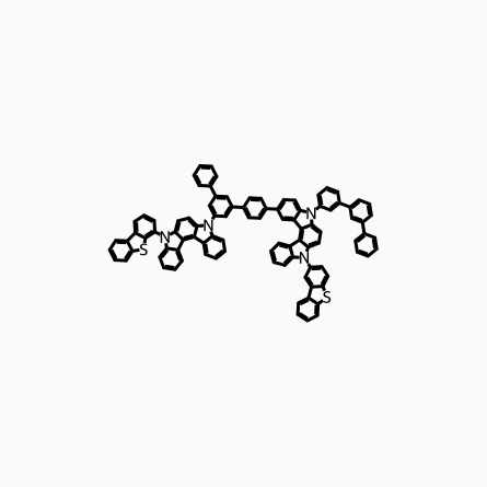 c1ccc(-c2cccc(-c3cccc(-n4c5ccc(-c6ccc(-c7cc(-c8ccccc8)cc(-n8c9ccccc9c9c%10c%11ccccc%11n(-c%11cccc%12c%11sc%11ccccc%11%12)c%10ccc98)c7)cc6)cc5c5c6c7ccccc7n(-c7ccc8sc9ccccc9c8c7)c6ccc54)c3)c2)cc1